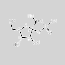 O=P(O)(O)O[C@@]1(CO)O[C@H](CO)[C@@H](O)[C@@H]1O